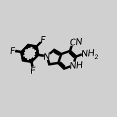 N#CC1=C(N)NC=C2CN(c3c(F)cc(F)cc3F)C=C21